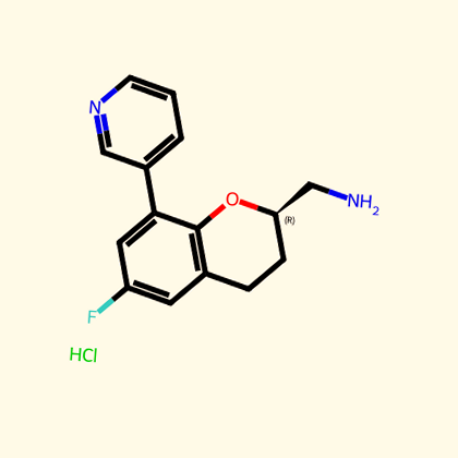 Cl.NC[C@H]1CCc2cc(F)cc(-c3cccnc3)c2O1